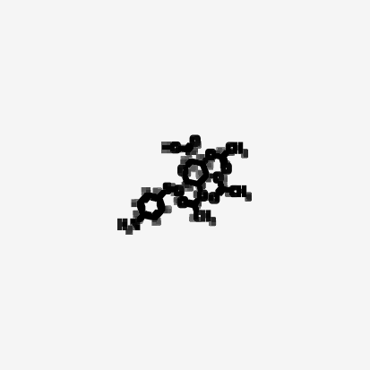 CC(=O)O[C@@H]1[C@@H](OC(C)=O)[C@H](OSc2ccc(N)cc2)O[C@H](C(=O)O)[C@H]1OC(C)=O